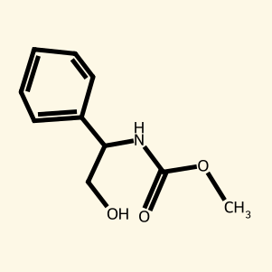 COC(=O)NC(CO)c1ccccc1